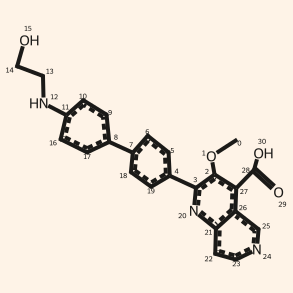 COc1c(-c2ccc(-c3ccc(NCCO)cc3)cc2)nc2ccncc2c1C(=O)O